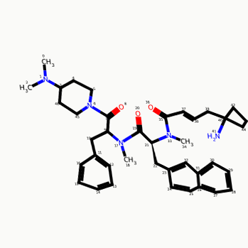 CN(C)C1CCN(C(=O)C(Cc2ccccc2)N(C)C(=O)[C@H](Cc2ccc3ccccc3c2)N(C)C(=O)/C=C/CC2(N)CCC2)CC1